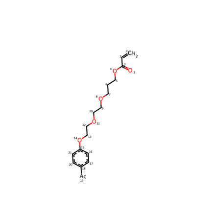 C=CC(=O)OCCCOCCOCCOc1ccc(C(C)=O)cc1